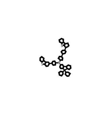 c1ccc(C2(c3ccccc3)c3ccccc3-c3cc(N(c4ccc(-c5ccc(-c6cccc7c6sc6ccccc67)cc5)cc4)c4ccc(-c5ccc6sc7ccccc7c6c5)cc4)ccc32)cc1